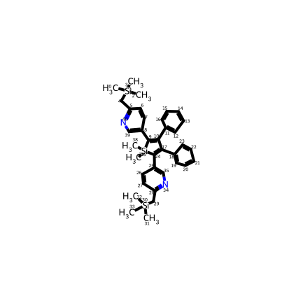 C[Si](C)(C)Cc1ccc(C2=C(c3ccccc3)C(c3ccccc3)=C(c3ccc(C[Si](C)(C)C)nc3)[Si]2(C)C)cn1